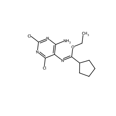 CCO/C(=N\c1c(N)nc(Cl)nc1Cl)C1CCCC1